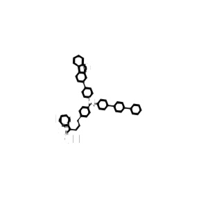 C=C(/C=C\c1c(C)oc2ccccc12)c1ccc(N(c2ccc(-c3ccc(-c4ccccc4)cc3)cc2)c2ccc(-c3ccc4c(c3)oc3ccccc34)cc2)cc1